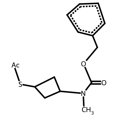 CC(=O)SC1CC(N(C)C(=O)OCc2ccccc2)C1